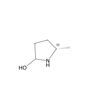 C[C@H]1CCC(O)N1